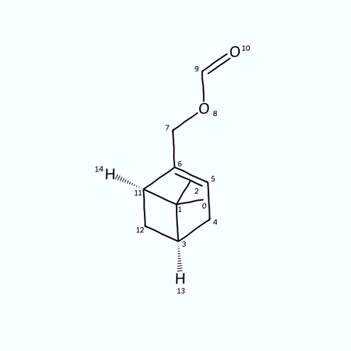 CC1(C)[C@H]2CC=C(COC=O)[C@@H]1C2